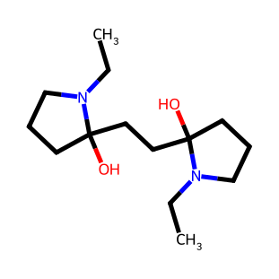 CCN1CCCC1(O)CCC1(O)CCCN1CC